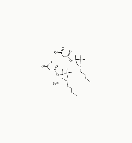 CCCCCCC(C)(OC(=O)CC(=O)[O-])C(C)(C)C.CCCCCCC(C)(OC(=O)CC(=O)[O-])C(C)(C)C.[Ba+2]